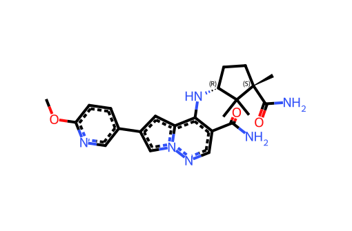 COc1ccc(-c2cc3c(N[C@@H]4CC[C@](C)(C(N)=O)C4(C)C)c(C(N)=O)cnn3c2)cn1